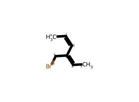 C/C=C\C(=C/C)CBr